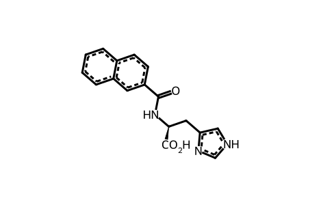 O=C(N[C@@H](Cc1c[nH]cn1)C(=O)O)c1ccc2ccccc2c1